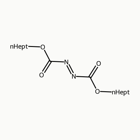 CCCCCCCOC(=O)/N=N/C(=O)OCCCCCCC